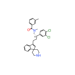 Cc1cccc(C(=O)N(C)C[C@@H](CCC2=CC3(CCNCC3)c3ccccc32)c2ccc(Cl)c(Cl)c2)c1